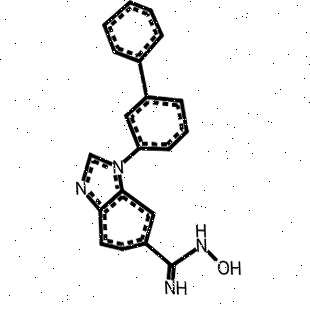 N=C(NO)c1ccc2ncn(-c3cccc(-c4ccccc4)c3)c2c1